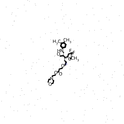 COC(CC(F)(F)F)[C@H](C/C=C\OCCC(=O)OCCN1CCOCC1)[C@H](C=O)CNc1ccc(C)c(C)c1